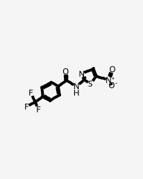 O=C(Nc1ncc([N+](=O)[O-])s1)c1ccc(C(F)(F)F)cc1